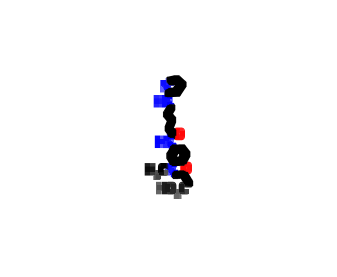 CN1CC(CC(=O)O)Oc2ccc(NC(=O)CCCCNc3ccccn3)cc21